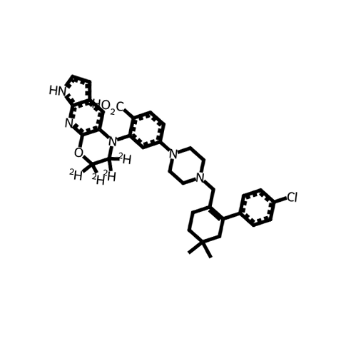 [2H]C1([2H])Oc2nc3[nH]ccc3cc2N(c2cc(N3CCN(CC4=C(c5ccc(Cl)cc5)CC(C)(C)CC4)CC3)ccc2C(=O)O)C1([2H])[2H]